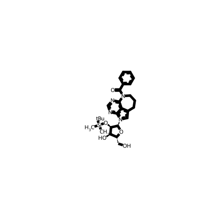 CC(C)(C)[Si](C)(C)O[C@@H]1[C@H](O)[C@@H](CO)O[C@H]1n1cc2c3c(ncnc31)N(C(=O)c1ccccc1)CCC2